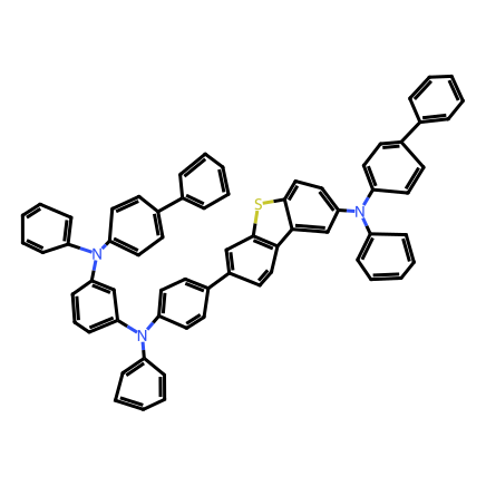 c1ccc(-c2ccc(N(c3ccccc3)c3cccc(N(c4ccccc4)c4ccc(-c5ccc6c(c5)sc5ccc(N(c7ccccc7)c7ccc(-c8ccccc8)cc7)cc56)cc4)c3)cc2)cc1